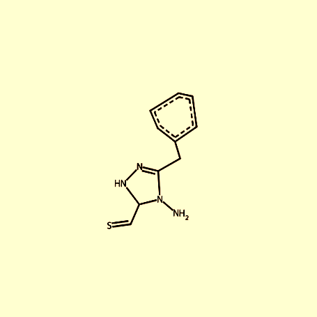 NN1C(Cc2ccccc2)=NNC1C=S